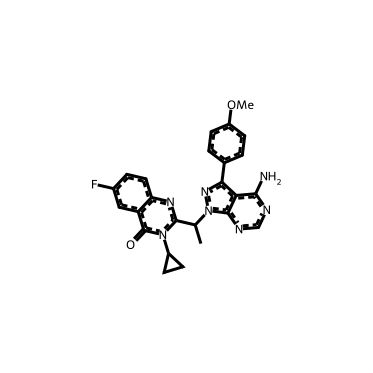 COc1ccc(-c2nn(C(C)c3nc4ccc(F)cc4c(=O)n3C3CC3)c3ncnc(N)c23)cc1